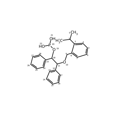 CC(C)c1ccccc1COC(c1ccccc1)C(OP(O)O)c1ccccc1